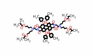 C=C(C)C(=O)OCCCCN(CCCCOC(=O)C(=C)C)C(=O)CN1C(=O)c2cc(Oc3ccc(C)cc3)c3c4c(Oc5ccc(C)cc5)cc5c6c(cc(Oc7ccc(C)cc7)c(c7c(Oc8ccc(C)cc8)cc(c2c37)C1=O)c64)C(=O)N(CC(=O)N(CCCCOC(=O)C(=C)C)CCCCOC(=O)C(=C)C)C5=O